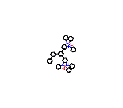 O=P1(c2ccccc2)N(c2ccccc2)c2ccc(-c3cc(-c4cccc(-c5ccccc5)c4)cc(-c4ccc5c(c4)N(c4ccccc4)P(=O)(c4ccccc4)N5c4ccccc4)c3)cc2N1c1ccccc1